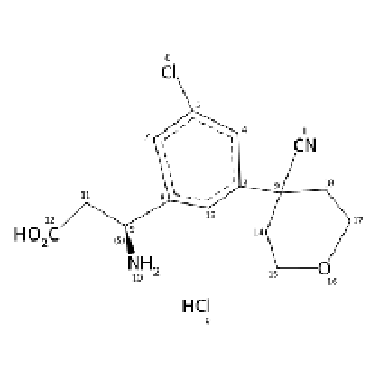 Cl.N#CC1(c2cc(Cl)cc([C@@H](N)CC(=O)O)c2)CCOCC1